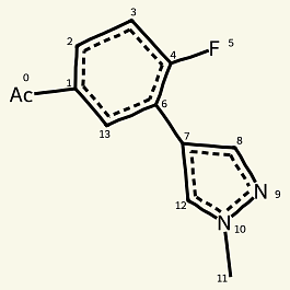 CC(=O)c1ccc(F)c(-c2cnn(C)c2)c1